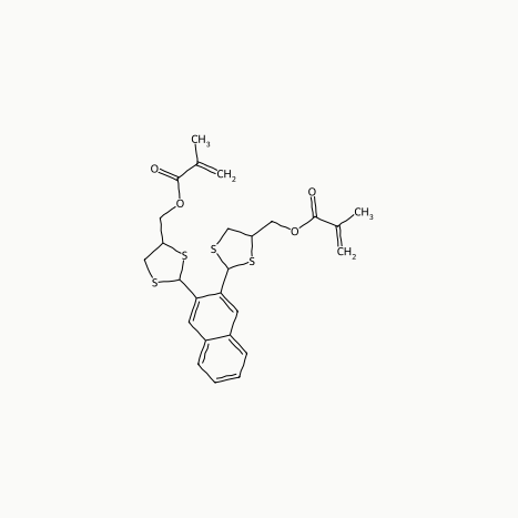 C=C(C)C(=O)OCC1CSC(c2cc3ccccc3cc2C2SCC(COC(=O)C(=C)C)S2)S1